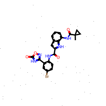 CC1(C(=O)Nc2cccc3cc(C(=O)Nc4ccc(Br)cc4-c4noc(=O)[nH]4)[nH]c23)CC1